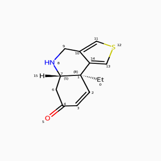 CC[C@]12C=CC(=O)C[C@@H]1NCc1cscc12